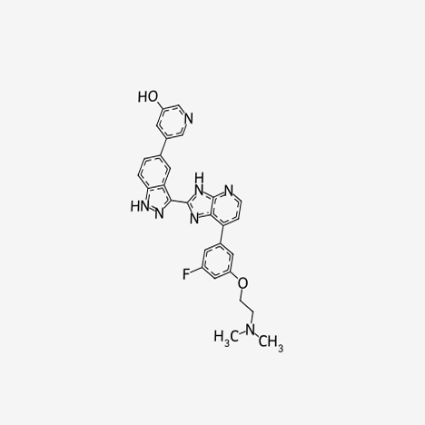 CN(C)CCOc1cc(F)cc(-c2ccnc3[nH]c(-c4n[nH]c5ccc(-c6cncc(O)c6)cc45)nc23)c1